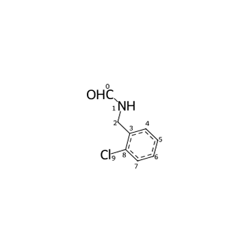 O=CNCc1ccccc1Cl